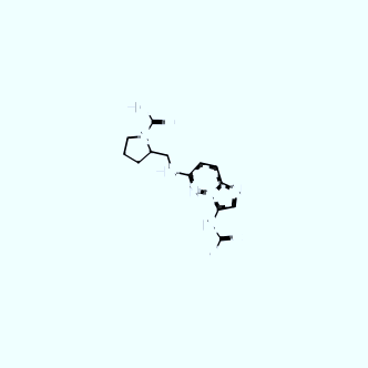 CC(=O)Nc1cnc2ccc(NCC3CCCN3C(=O)O)nn12